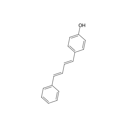 Oc1ccc(C=CC=Cc2ccccc2)cc1